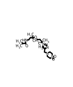 C=C(C)C(=O)NCCC(C)(C)OCCC(C)(C)n1cc(CN2CCS(=O)(=O)CC2)nn1